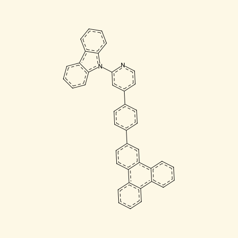 c1ccc2c(c1)c1ccccc1c1cc(-c3ccc(-c4ccnc(-n5c6ccccc6c6ccccc65)c4)cc3)ccc21